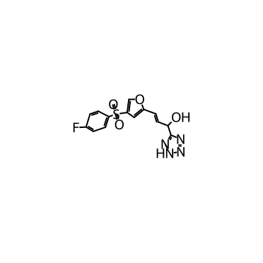 O=S(=O)(c1ccc(F)cc1)c1coc(C=CC(O)c2nn[nH]n2)c1